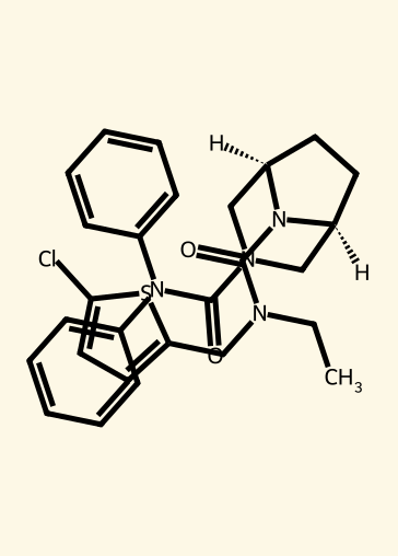 CCN(Cc1ccc(Cl)s1)C(=O)N1[C@@H]2CC[C@H]1CN(C(=O)N(c1ccccc1)c1ccccc1)C2